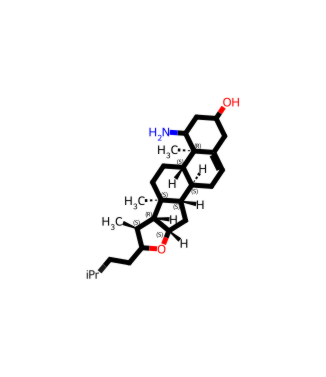 CC(C)CCC1O[C@H]2C[C@H]3[C@@H]4CC=C5CC(O)CC(N)[C@]5(C)[C@H]4CC[C@]3(C)[C@H]2[C@@H]1C